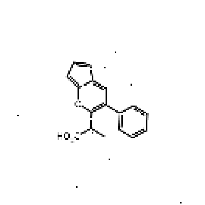 CC(C(=O)O)c1oc2cccc-2cc1-c1ccccc1